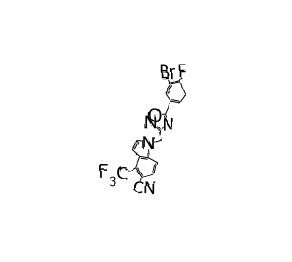 N#Cc1ccc2c(ccn2Cc2noc(C3=CCC(F)C(Br)=C3)n2)c1C(F)(F)F